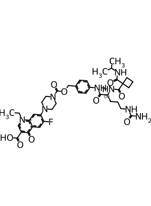 CCn1cc(C(=O)O)c(=O)c2cc(F)c(N3CCN(C(=O)OCc4ccc(NC(=O)[C@H](CCCNC(N)=O)NC(=O)C5(C(=O)NC(C)C)CCC5)cc4)CC3)cc21